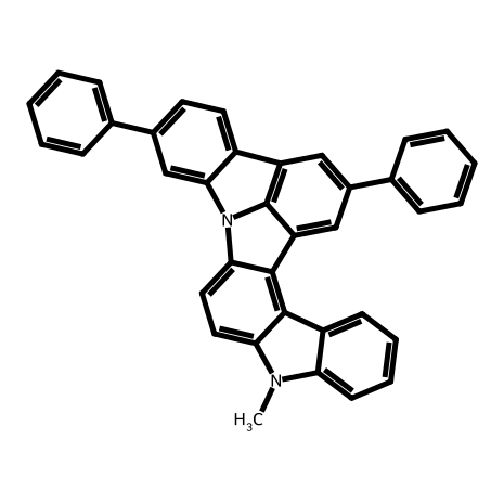 Cn1c2ccccc2c2c3c4cc(-c5ccccc5)cc5c6ccc(-c7ccccc7)cc6n(c3ccc21)c54